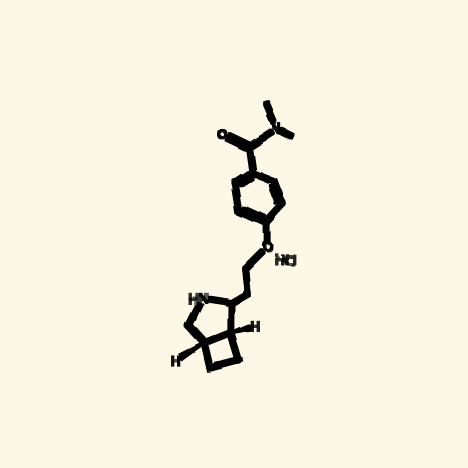 CN(C)C(=O)c1ccc(OCCC2NC[C@H]3CC[C@@H]23)cc1.Cl